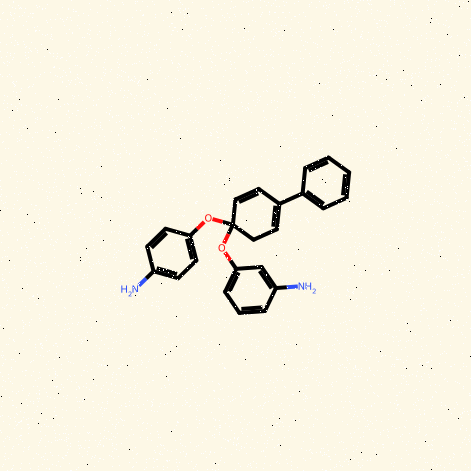 Nc1ccc(OC2(Oc3cccc(N)c3)C=CC(c3ccccc3)=CC2)cc1